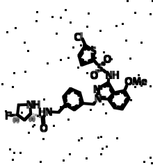 COc1cccc2c1c(NS(=O)(=O)c1ccc(Cl)s1)nn2Cc1cccc(CNC(=O)[C@@H]2C[C@@H](F)CN2)c1